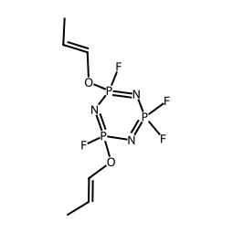 CC=COP1(F)=NP(F)(F)=NP(F)(OC=CC)=N1